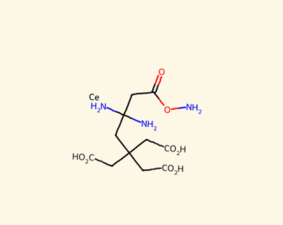 NOC(=O)CC(N)(N)CC(CC(=O)O)(CC(=O)O)CC(=O)O.[Ce]